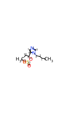 CCCCn1cncc1C(CC)O[SH](=O)=O